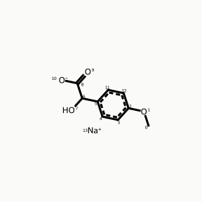 COc1ccc(C(O)C(=O)[O-])cc1.[Na+]